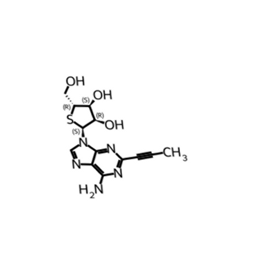 CC#Cc1nc(N)c2ncn([C@H]3S[C@H](CO)[C@@H](O)[C@H]3O)c2n1